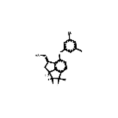 CCCC/N=C1\C[C@@]2(O)c3c(ccc(Oc4cc(F)cc(C#N)c4)c31)C(F)(F)C2(F)F